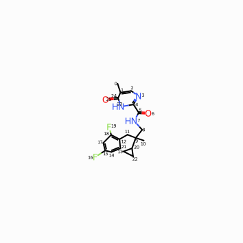 Cc1cnc(C(=O)NCC(C)(Cc2ccc(F)cc2F)C2CC2)[nH]c1=O